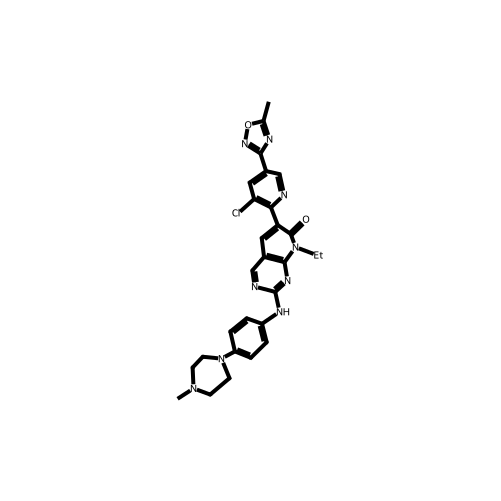 CCn1c(=O)c(-c2ncc(-c3noc(C)n3)cc2Cl)cc2cnc(Nc3ccc(N4CCN(C)CC4)cc3)nc21